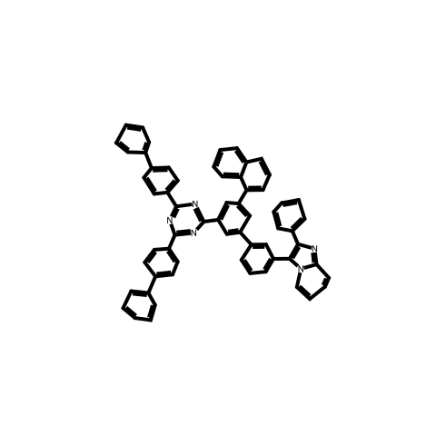 c1ccc(-c2ccc(-c3nc(-c4ccc(-c5ccccc5)cc4)nc(-c4cc(-c5cccc(-c6c(-c7ccccc7)nc7ccccn67)c5)cc(-c5cccc6ccccc56)c4)n3)cc2)cc1